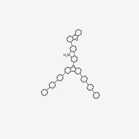 c1ccc(-c2ccc(-c3ccc(-c4ccc5c(c4)c4cc(-c6ccc(-c7ccc(-c8ccccc8)cc7)cc6)ccc4n5-c4ccc5c(c4)[SiH2]c4cc(-c6cccc7c6oc6ccccc67)ccc4-5)cc3)cc2)cc1